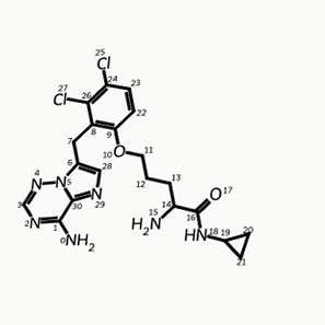 Nc1ncnn2c(Cc3c(OCCCC(N)C(=O)NC4CC4)ccc(Cl)c3Cl)cnc12